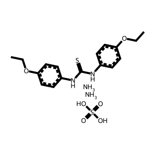 CCOc1ccc(NC(=S)Nc2ccc(OCC)cc2)cc1.N.N.O=S(=O)(O)O